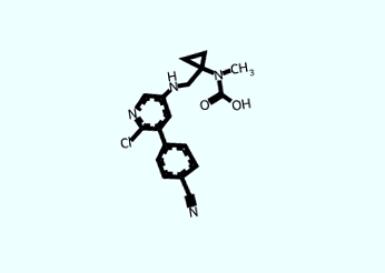 CN(C(=O)O)C1(CNc2cnc(Cl)c(-c3ccc(C#N)cc3)c2)CC1